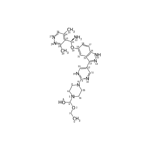 CCOC(O)N1CCN(c2ncc(-c3n[nH]c4ccc(O[C@H](N)c5c(C)cnnc5C)cc34)cn2)CC1